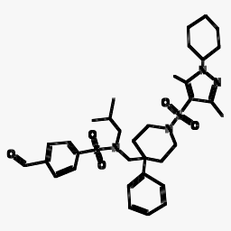 Cc1nn(C2CCCCC2)c(C)c1S(=O)(=O)N1CCC(CN(CC(C)C)S(=O)(=O)c2ccc(C=O)cc2)(c2ccccc2)CC1